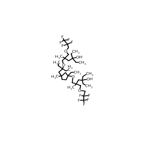 CCC(O)(CC)CC(C)(COCC(F)(F)C(F)(F)F)COC(CC)(CC)CC1(C)CCC(CC)(OCC(C)(COCC(F)(F)C(F)(F)F)CC(O)(CC)CC)C1